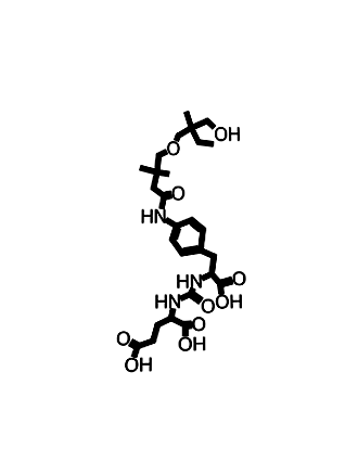 CCC(C)(CO)COCC(C)(C)CC(=O)Nc1ccc(CC(NC(=O)NC(CCC(=O)O)C(=O)O)C(=O)O)cc1